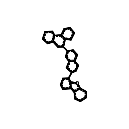 c1ccc2c(c1)cc(-c1ccc3ccc(-c4cccc5c4oc4ccccc45)cc3c1)c1ccccc12